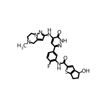 CN1CCn2nc(Nc3cc(-c4ccc(F)c(NC(=O)c5cc6c(s5)CC[C@@H]6O)c4)n[nH]c3=O)cc2C1